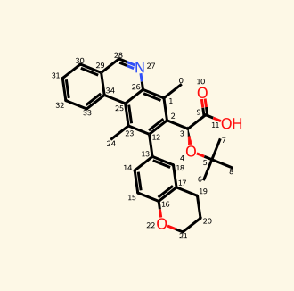 Cc1c([C@H](OC(C)(C)C)C(=O)O)c(-c2ccc3c(c2)CCCO3)c(C)c2c1ncc1ccccc12